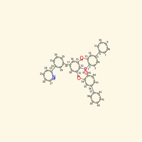 O=P12c3ccc(-c4ccccc4)cc3Oc3cc(-c4cccc(-c5ccccn5)c4)cc(c31)Oc1cc(-c3ccccc3)ccc12